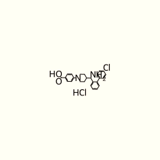 Cl.NC(c1ccccc1-c1ccc(Cl)cc1)C1CCN(c2ccc(C(=O)O)cc2)CC1